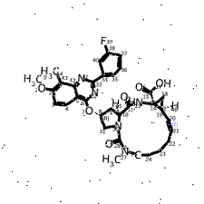 COc1ccc2c(O[C@@H]3C[C@H]4C(=O)N[C@]5(C(=O)O)C[C@H]5/C=C\CCCCN(C)C(=O)N4C3)nc(-c3cccc(F)c3)nc2c1C